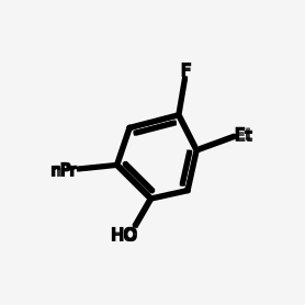 CCCc1cc(F)c(CC)cc1O